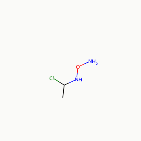 CC(Cl)NON